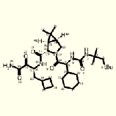 CC(C)(C)CC(C)(C)NC(=O)N[C@H](C(=O)N1C[C@H]2[C@@H]([C@H]1C(=O)N[C@@H](CC1CCC1)C(=O)C(N)=O)C2(C)C)C1CCCCC1